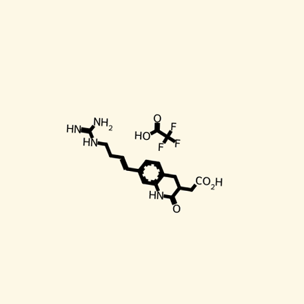 N=C(N)NCCC=Cc1ccc2c(c1)NC(=O)C(CC(=O)O)C2.O=C(O)C(F)(F)F